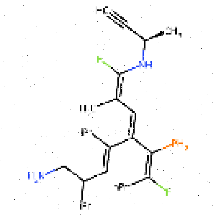 C#C[C@@H](C)N\C(F)=C(C)/C=C(C(/P)=C(/F)CCC)\C(=C\C(CN)C(C)C)C(C)C